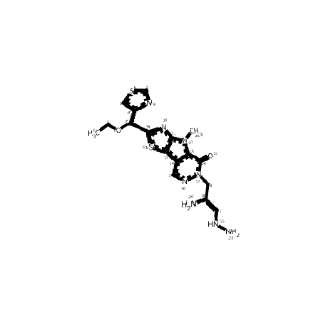 CCOC(c1cscn1)c1nc2c(s1)c1cnn(C/C(N)=C/NN)c(=O)c1n2C